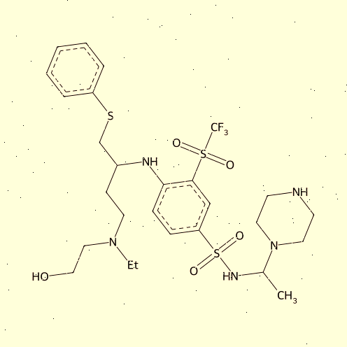 CCN(CCO)CCC(CSc1ccccc1)Nc1ccc(S(=O)(=O)NC(C)N2CCNCC2)cc1S(=O)(=O)C(F)(F)F